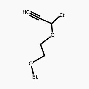 C#CC(CC)OCCOCC